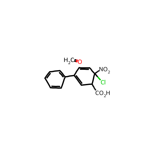 C=O.O=C(O)C1C=C(c2ccccc2)C=CC1(Cl)[N+](=O)[O-]